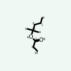 CCCC(C)(C)OC(=O)CC